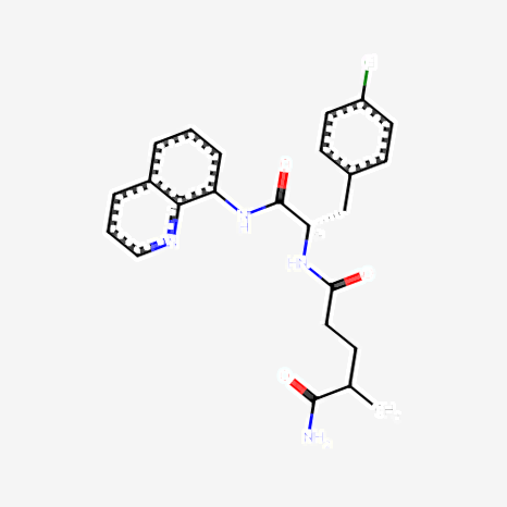 CC(C[CH]C(=O)N[C@@H](Cc1ccc(Cl)cc1)C(=O)Nc1cccc2cccnc12)C(N)=O